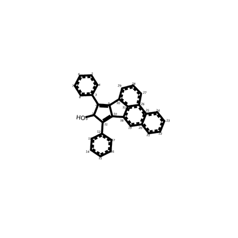 OC1C(c2ccccc2)=C2C(=C1c1ccccc1)c1cc3ccccc3c3cccc2c13